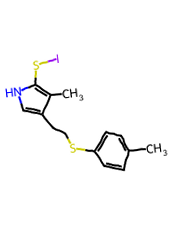 Cc1ccc(SCCc2c[nH]c(SI)c2C)cc1